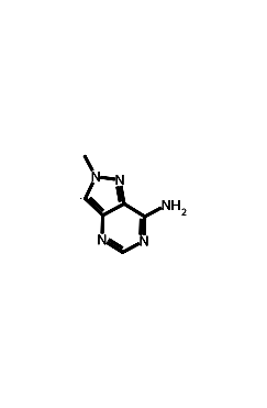 Cn1[c]c2ncnc(N)c2n1